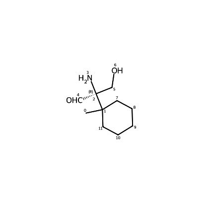 CC1([C@](N)(C=O)CO)CCCCC1